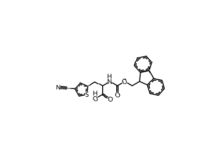 N#Cc1csc(CC(NC(=O)OCC2c3ccccc3-c3ccccc32)C(=O)O)c1